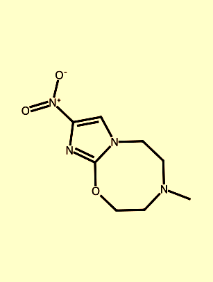 CN1CCOc2nc([N+](=O)[O-])cn2CC1